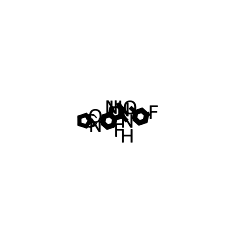 O=S1(=Nc2cc(F)c3c(Nc4ccc(F)cc4O)ncnc3c2)CCCC1